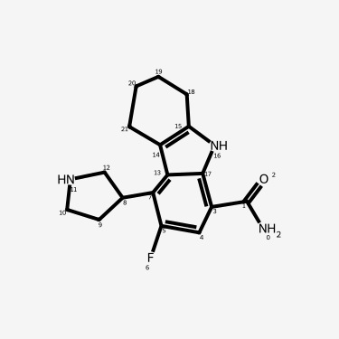 NC(=O)c1cc(F)c(C2CCNC2)c2c3c([nH]c12)CCCC3